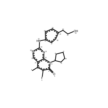 Cc1c(F)c(=O)n(C2CCCC2)c2nc(Nc3ccc(CCO)cc3)ncc12